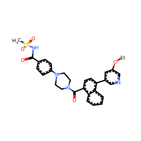 CCOc1cncc(-c2ccc(C(=O)N3CCN(c4ccc(C(=O)NS(C)(=O)=O)cc4)CC3)c3ccccc23)c1